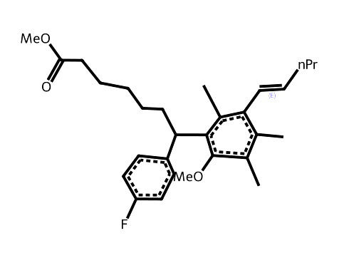 CCC/C=C/c1c(C)c(C)c(OC)c(C(CCCCCC(=O)OC)c2ccc(F)cc2)c1C